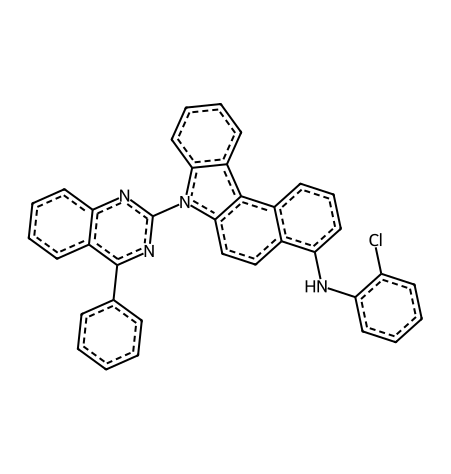 Clc1ccccc1Nc1cccc2c1ccc1c2c2ccccc2n1-c1nc(-c2ccccc2)c2ccccc2n1